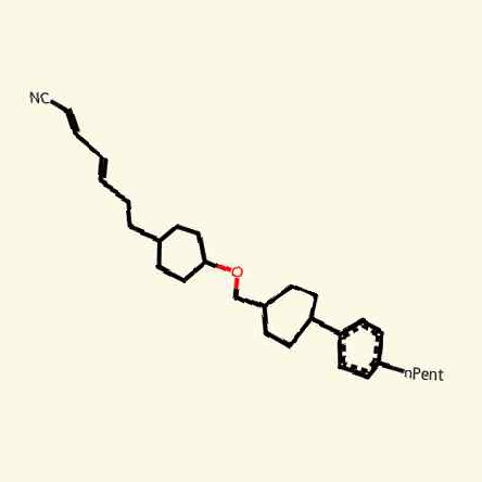 CCCCCc1ccc(C2CCC(COC3CCC(CCC=CC=CC#N)CC3)CC2)cc1